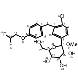 CO[C@@]1(c2ccc(Cl)c(Cc3ccc(OCC(F)F)cc3)c2)O[C@H](CO)[C@@H](O)[C@H](O)[C@H]1O